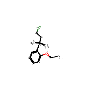 CCOc1ccccc1C(C)(C)CCCl